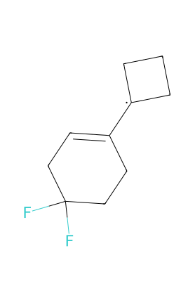 FC1(F)CC=C([C]2CCC2)CC1